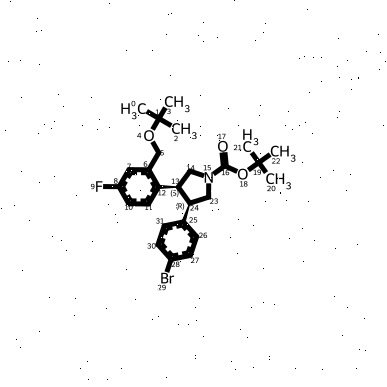 CC(C)(C)OCc1cc(F)ccc1[C@H]1CN(C(=O)OC(C)(C)C)C[C@H]1c1ccc(Br)cc1